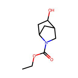 CCOC(=O)N1CC2CC1CC2O